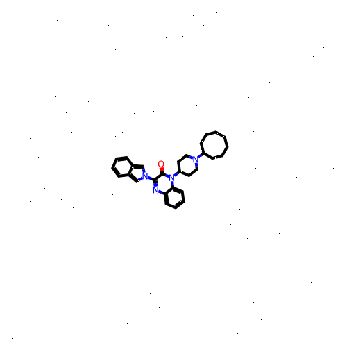 O=c1c(-n2cc3ccccc3c2)nc2ccccc2n1C1CCN(C2CCCCCCC2)CC1